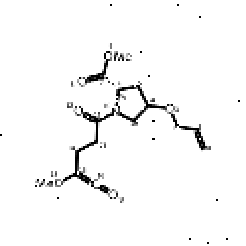 C=CCOC1C[C@@H](C(=O)OC)N(C(=O)CCC(=C=O)OC)C1